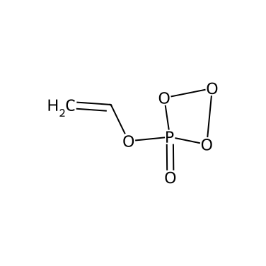 C=COP1(=O)OOO1